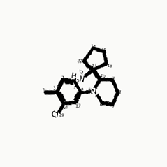 Cc1ccc(N2CCCCC2C2(N)CCCC2)cc1Cl